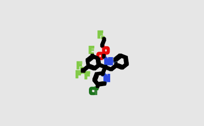 O=C(NC(Cc1ccccc1)(c1cc(F)cc(C(F)(F)F)c1)c1ccc(Cl)cn1)OCCF